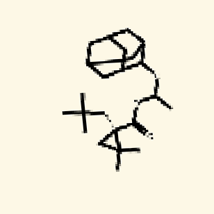 CC(OC(=O)[C@]1(CC(C)(C)C)CC1(C)C)OC1C2CC3CC(C2)CC1C3